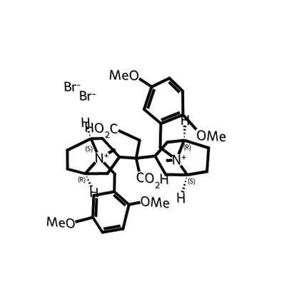 COc1ccc(OC)c(C[N+]2(C)[C@@H]3CC[C@H]2CC(C(CC(=O)O)(C(=O)O)C2C[C@H]4CC[C@@H](C2)[N+]4(C)Cc2cc(OC)ccc2OC)C3)c1.[Br-].[Br-]